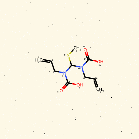 C=CCN(C(=O)O)C(SC)N(CC=C)C(=O)O